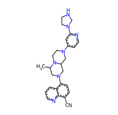 CC1CN(c2ccc(C#N)c3ncccc23)CC2CN(c3ccnc(N4CCNC4)c3)CCN12